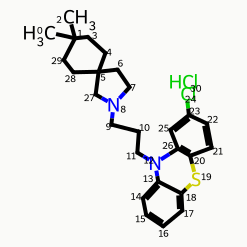 CC1(C)CCC2(CCN(CCCN3c4ccccc4Sc4ccc(Cl)cc43)C2)CC1.Cl